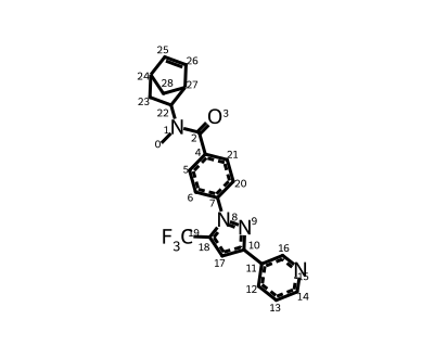 CN(C(=O)c1ccc(-n2nc(-c3cccnc3)cc2C(F)(F)F)cc1)C1CC2C=CC1C2